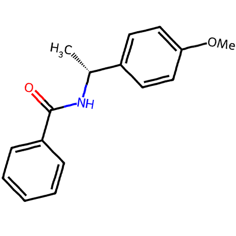 COc1ccc([C@@H](C)NC(=O)c2ccccc2)cc1